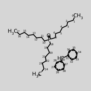 CCCCCCCCP(=O)(CCCCCCCC)CCCCCCCC.c1ccc(Pc2ccccc2)cc1